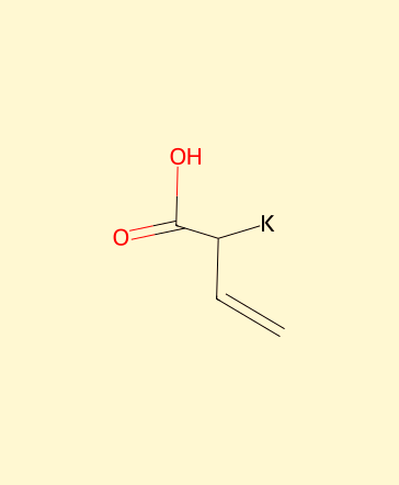 C=C[CH]([K])C(=O)O